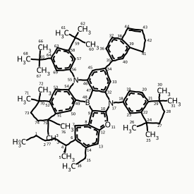 CCCC[C@H](C)c1cc2c3c(oc2cc1CC)N(c1ccc2c(c1)C(C)(C)CCC2(C)C)c1cc(-c2ccc4c(c2)CCC=C4)cc2c1B3c1cc3c(cc1N2c1cc(C(C)(C)C)cc(C(C)(C)C)c1)C(C)(C)CCC3(C)C